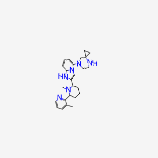 Cc1cccnc1C1CCCC(C2=CN3C(N4CCNC5(CC5)C4)=CC=CC3N2)N1C